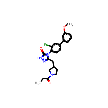 CCC(=O)N1CCC(Cc2n[nH]c(=O)n2-c2ccc(-c3cccc(OC)c3)cc2F)C1